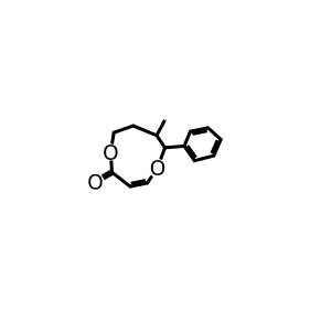 CC1CCOC(=O)C=COC1c1ccccc1